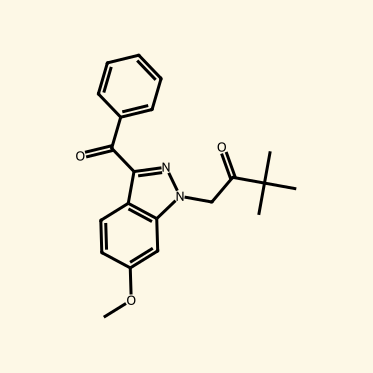 COc1ccc2c(C(=O)c3ccccc3)nn(CC(=O)C(C)(C)C)c2c1